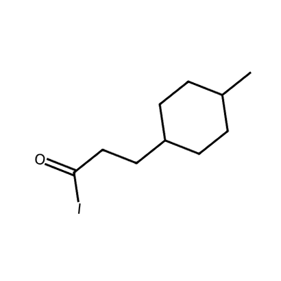 CC1CCC(CCC(=O)I)CC1